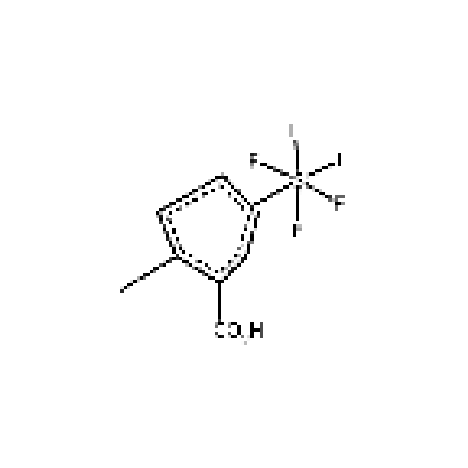 Cc1ccc(S(F)(F)(F)(F)F)cc1C(=O)O